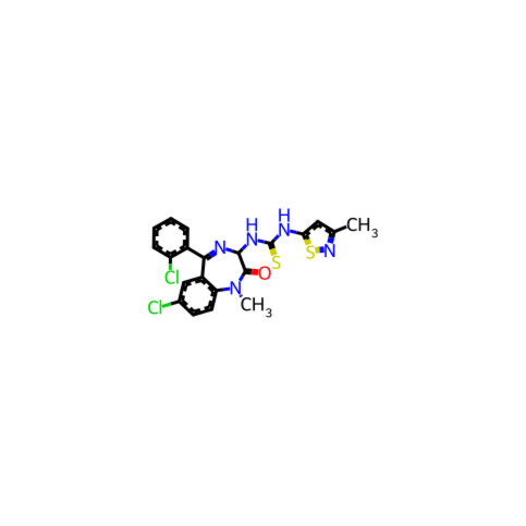 Cc1cc(NC(=S)NC2N=C(c3ccccc3Cl)c3cc(Cl)ccc3N(C)C2=O)sn1